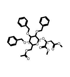 COC(=O)C[C@H](O[C@@H]1OC(COC(C)=O)[C@H](OCc2ccccc2)C(OCc2ccccc2)C1OCc1ccccc1)C(=O)OC